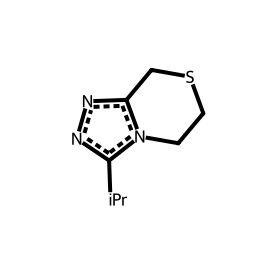 CC(C)c1nnc2n1CCSC2